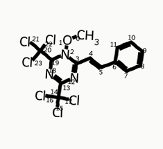 CON1C(C=Cc2ccccc2)=NC(C(Cl)(Cl)Cl)=NC1C(Cl)(Cl)Cl